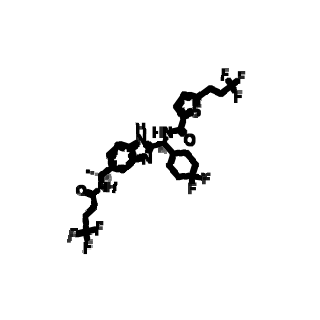 C[C@@H](NC(=O)CCC(F)(F)F)c1ccc2[nH]c([C@@H](NC(=O)c3ccc(CCC(F)(F)F)s3)C3CCC(F)(F)CC3)nc2c1